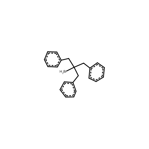 [BiH2][C](Cc1ccccc1)(Cc1ccccc1)Cc1ccccc1